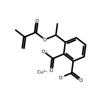 C=C(C)C(=O)OC(C)c1cccc(C(=O)[O-])c1C(=O)[O-].[Cu+2]